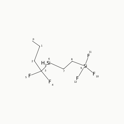 CCCC(F)(F)[SiH2]CC[Si](F)(F)F